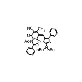 CCCCN(CCCC)c1nc(-c2ccccc2)c(/C=C2\C(=O)N(N(C(C)=O)C(=O)c3ccccc3)C(=O)C(C#N)=C2C)s1